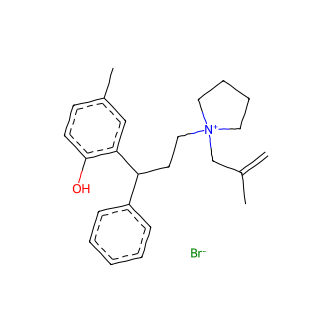 C=C(C)C[N+]1(CCC(c2ccccc2)c2cc(C)ccc2O)CCCC1.[Br-]